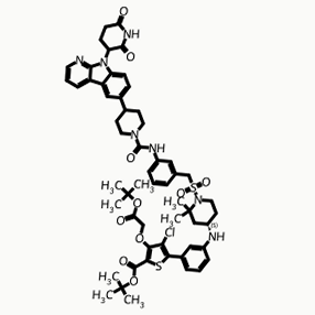 CC(C)(C)OC(=O)COc1c(C(=O)OC(C)(C)C)sc(-c2cccc(N[C@H]3CCN(S(=O)(=O)Cc4cccc(NC(=O)N5CCC(c6ccc7c(c6)c6cccnc6n7C6CCC(=O)NC6=O)CC5)c4)C(C)(C)C3)c2)c1Cl